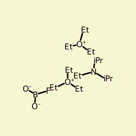 CCN(C(C)C)C(C)C.CC[O+](CC)CC.CC[O+](CC)CC.[O-]B([O-])F